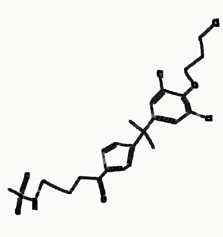 CC(C)(c1ccc(C(=O)CCCNS(C)(=O)=O)cc1)c1cc(Cl)c(OCCCCl)c(Cl)c1